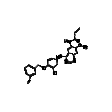 C=CC(=O)Nc1cc2c(Nc3ccc(OCc4cccc(F)c4)c(Cl)c3)ncnc2cc1OCC